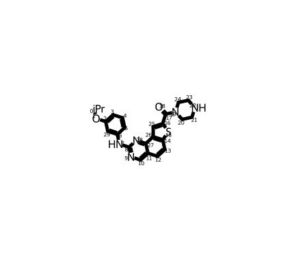 CC(C)Oc1cccc(Nc2ncc3ccc4sc(C(=O)N5CCNCC5)cc4c3n2)c1